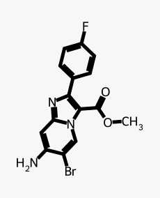 COC(=O)c1c(-c2ccc(F)cc2)nc2cc(N)c(Br)cn12